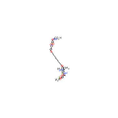 CC1(F)Oc2ccc(C3(C(=O)Nc4cc5cc(C(C)(C)CCOCCCCCCCCCCCCCCCCCCCCOc6ccc(C7CCN(S(=O)(=O)c8ccc(C(=O)NCC(=O)O)cc8)CC7)cc6)[nH]c5cc4F)CC3)cc2O1